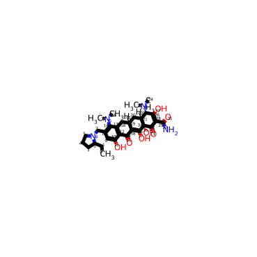 CCC1CCCN1Cc1cc(O)c2c(c1N(C)C)C[C@H]1C[C@H]3[C@H](N(C)C)C(O)=C(C(N)=O)C(=O)[C@@]3(O)C(O)=C1C2=O